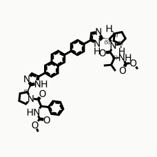 COC(=O)NC(C(=O)N1CCC[C@H]1c1ncc(-c2ccc3cc(-c4ccc(-c5cnc([C@@H]6[C@H]7CC[C@H](C7)N6C(=O)[C@@H](NC(=O)OC)C(C)C)[nH]5)cc4)ccc3c2)[nH]1)c1ccccc1